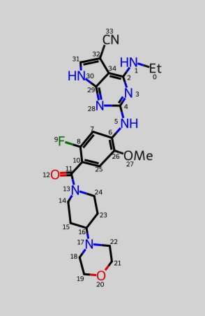 CCNc1nc(Nc2cc(F)c(C(=O)N3CCC(N4CCOCC4)CC3)cc2OC)nc2[nH]cc(C#N)c12